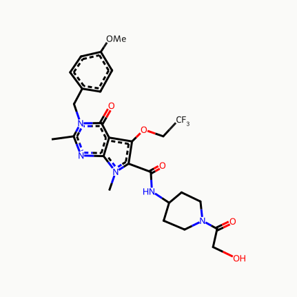 COc1ccc(Cn2c(C)nc3c(c(OCC(F)(F)F)c(C(=O)NC4CCN(C(=O)CO)CC4)n3C)c2=O)cc1